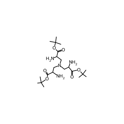 CC(C)(C)OC(=O)C(N)CN(CC(N)C(=O)OC(C)(C)C)CC(N)C(=O)OC(C)(C)C